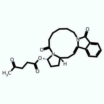 CC(=O)CCC(=O)O[C@H]1CC[C@H]2C/C=C3/c4ccccc4C(=O)N3CCCCCC(=O)N21